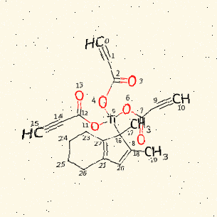 C#CC(=O)[O][Ti]([O]C(=O)C#C)([O]C(=O)C#C)[C]1(C)C(C)=CC2=C1CCCC2